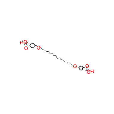 CC(C)(O)C(=O)c1ccc(COCCCCCCCCCCCCCCCCCCOCc2ccc(C(=O)C(C)(C)O)cc2)cc1